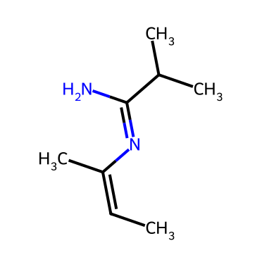 C/C=C(C)\N=C(/N)C(C)C